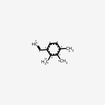 [CH]=Cc1ccc(C)c(C)c1C